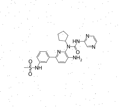 CS(=O)(=O)Nc1cccc(-c2ccc(N)c(N(C(=O)Nc3cnccn3)C3CCCC3)n2)c1